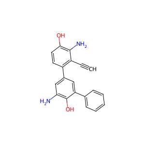 C#Cc1c(-c2cc(N)c(O)c(-c3ccccc3)c2)ccc(O)c1N